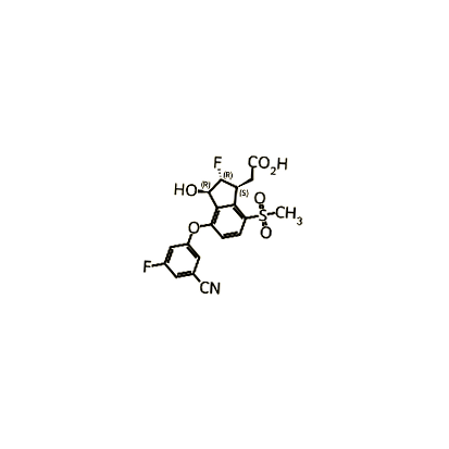 CS(=O)(=O)c1ccc(Oc2cc(F)cc(C#N)c2)c2c1[C@H](CC(=O)O)[C@@H](F)[C@@H]2O